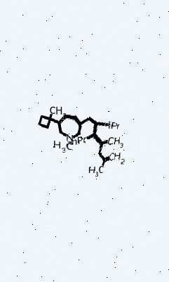 C=C(C)C/C(C)=C(\CCC)C(CC1CCC(C2(C)CCC2)CN(C)C1)C(C)C